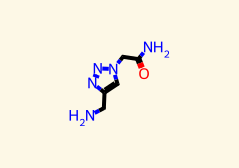 NCc1cn(CC(N)=O)nn1